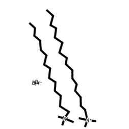 CCCCCCCCCCCCCCCC[N+](C)(C)C.CCCCCCCCCCCCCC[N+](C)(C)C.[Br-].[Br-]